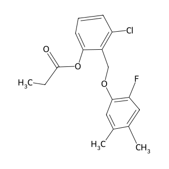 CCC(=O)Oc1cccc(Cl)c1COc1cc(C)c(C)cc1F